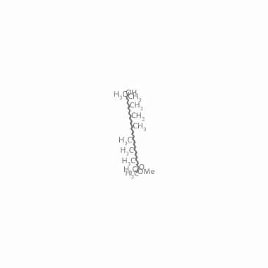 COC(C)(C)C(=O)/C=C/C(C)=C/C=C/C(C)=C/C=C/C(C)=C/C=C/C=C(C)/C=C/C=C(\C)CC/C=C(\C)CCCC(C)(C)O